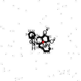 COc1ccc(CN2N(c3cc4cccnn4c3)NOC23CC2CCC3CC2)c(OC)c1